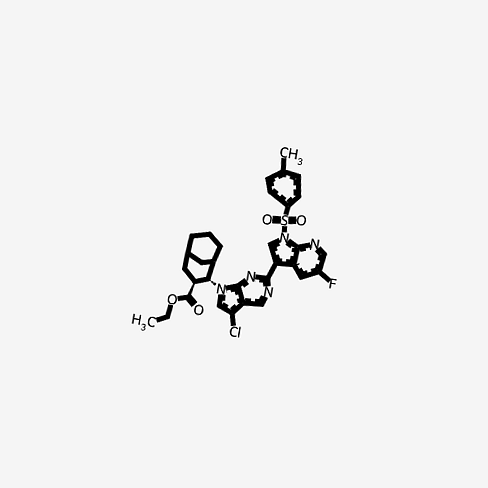 CCOC(=O)[C@H]1CC2CCCC(C2)[C@@H]1n1cc(Cl)c2cnc(-c3cn(S(=O)(=O)c4ccc(C)cc4)c4ncc(F)cc34)nc21